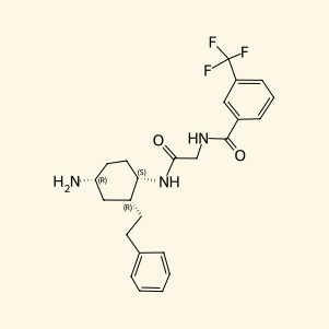 N[C@@H]1CC[C@H](NC(=O)CNC(=O)c2cccc(C(F)(F)F)c2)[C@H](CCc2ccccc2)C1